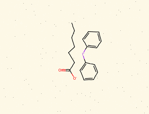 CCCCCCC(=O)[O-].c1ccc([I+]c2ccccc2)cc1